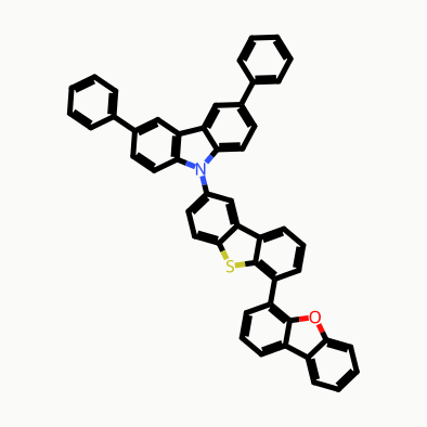 c1ccc(-c2ccc3c(c2)c2cc(-c4ccccc4)ccc2n3-c2ccc3sc4c(-c5cccc6c5oc5ccccc56)cccc4c3c2)cc1